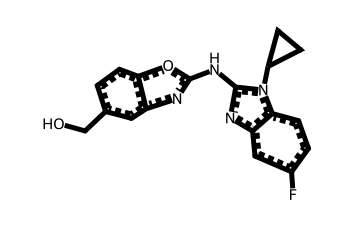 OCc1ccc2oc(Nc3nc4cc(F)ccc4n3C3CC3)nc2c1